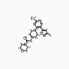 CCc1ncc(-c2cc(C)no2)c(C2CCN(CC(=O)N3CCOCC3)CC2)n1